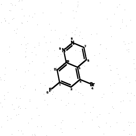 Fc1cc(Br)c2ccnnc2c1